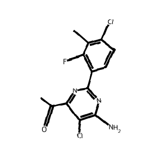 CC(=O)c1nc(-c2ccc(Cl)c(C)c2F)nc(N)c1Cl